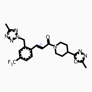 Cc1nnn(Cc2cc(C(F)(F)F)ccc2/C=C/C(=O)N2CCC(c3nnc(C)o3)CC2)n1